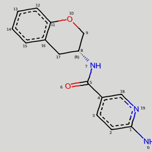 Nc1ccc(C(=O)N[C@H]2COc3ccccc3C2)cn1